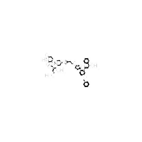 C=C/C=C(\CC)C(=O)N(C1CCC(=O)NC1=O)N1CCC(N2CC(CCOC3=CC(C)(c4ccc(OCc5ccccc5)cc4CC[C@@H](C)c4ccccc4)C=C3)C2)CC1